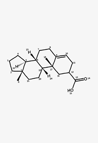 C[C@@]12CCC[C@H]1[C@@H]1CCC3=CCC(C(=O)O)C[C@]3(C)[C@@H]1CC2